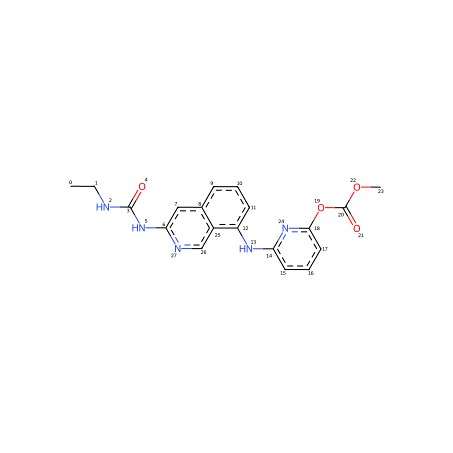 CCNC(=O)Nc1cc2cccc(Nc3cccc(OC(=O)OC)n3)c2cn1